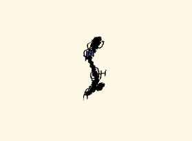 Cc1ccc(-c2cc(C(F)(F)F)nn2-c2ccc(S(=O)(=O)NC(=O)OCCCCCCN(C)/[N+]([O-])=N/OCN3C(=O)c4ccccc4C3=O)cc2)cc1